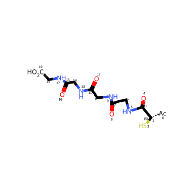 CC(=O)[C@H](S)C(=O)NCC(=O)NCC(=O)NCC(=O)NCC(=O)O